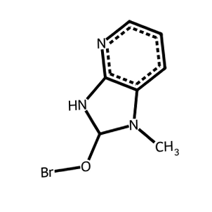 CN1c2cccnc2NC1OBr